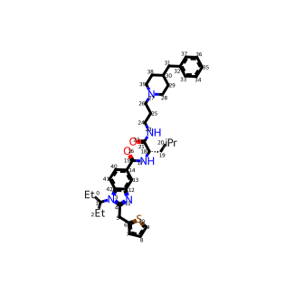 CCC(CC)n1c(Cc2cccs2)nc2cc(C(=O)N[C@@H](CC(C)C)C(=O)NCCCN3CCC(Cc4ccccc4)CC3)ccc21